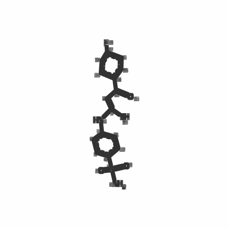 NS(=O)(=O)c1ccc(N/C(S)=C/C(=O)c2ccc(F)cc2)cc1